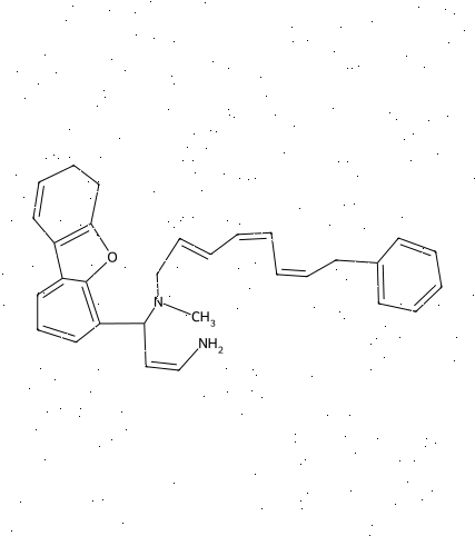 CN(C/C=C/C=C\C=C/Cc1ccccc1)C(/C=C\N)c1cccc2c3c(oc12)CCC=C3